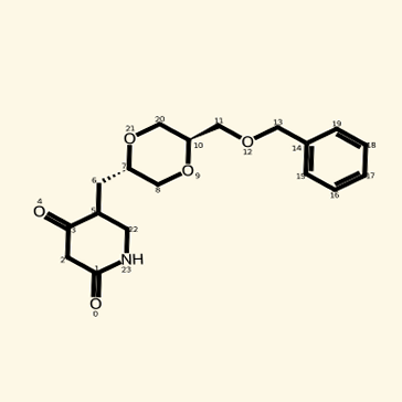 O=C1CC(=O)C(C[C@H]2CO[C@H](COCc3ccccc3)CO2)CN1